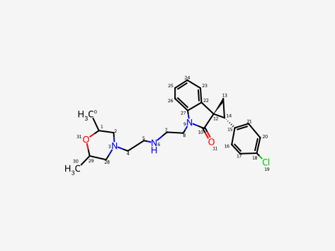 CC1CN(CCNCCN2C(=O)[C@]3(C[C@@H]3c3ccc(Cl)cc3)c3ccccc32)CC(C)O1